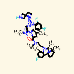 C=N/C(=C/n1n(-c2ccc(F)cc2F)n1N1CCC12CN(F)C2)N1CC(C)CC1C(=O)N(C)CCCN(C(=C)C)c1c(C)cc(F)cc1-c1cccc(C)n1